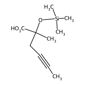 CC#CCC(C)(O[Si](C)(C)C)C(=O)O